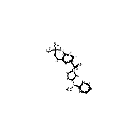 CN(c1ncccn1)[C@H]1CCN(C(=O)c2cnc3c(c2)CCC(C)(C)N3)C1